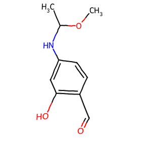 COC(C)Nc1ccc(C=O)c(O)c1